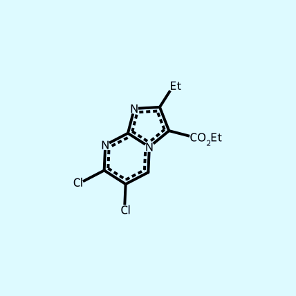 CCOC(=O)c1c(CC)nc2nc(Cl)c(Cl)cn12